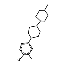 CC1CCC(C2CCC(c3ccc(Cl)c(F)c3)CC2)CC1